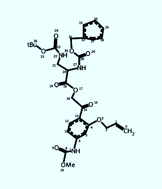 C=CCOc1cc(NC(=O)OC)ccc1C(=O)COC(=O)C(CNC(=O)OC(C)(C)C)NC(=O)OCc1ccccc1